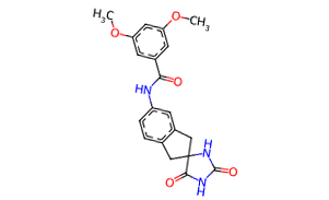 COc1cc(OC)cc(C(=O)Nc2ccc3c(c2)CC2(C3)NC(=O)NC2=O)c1